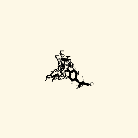 CCC(C)C1CCC(C(S(=O)(=O)C(F)(F)F)S(=O)(=O)C(F)(F)F)CC1